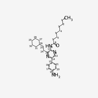 CCCCCCCCC(=O)Nc1ncc(-c2ccc(N)cc2)nc1CCC1CCCCC1